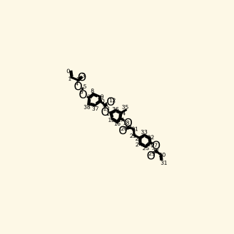 C=CC(=O)OCOc1ccc(C(=O)Oc2ccc(OC(=O)CCc3ccc(OC(=O)C=C)cc3)c(C)c2)cc1